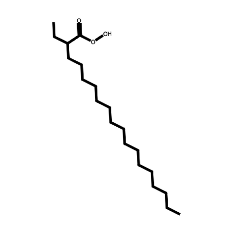 CCCCCCCCCCCCCCCCC(CC)C(=O)OO